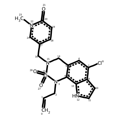 C=CCN1c2c(cc(Cl)c3cc[nH]c23)CN(Cc2ccc(=O)n(C)c2)S1(=O)=O